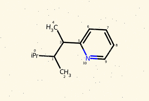 CC(C)C(C)C(C)c1ccccn1